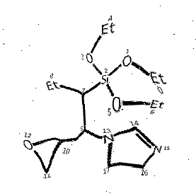 CCO[Si](OCC)(OCC)C(CC)C(C1CO1)N1C=NCC1